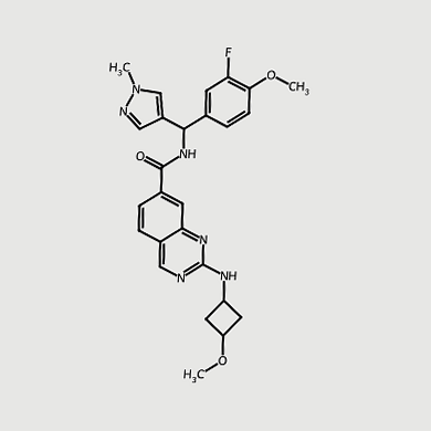 COc1ccc(C(NC(=O)c2ccc3cnc(NC4CC(OC)C4)nc3c2)c2cnn(C)c2)cc1F